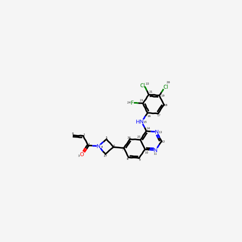 C=CC(=O)N1CC(c2ccc3ncnc(Nc4ccc(Cl)c(Cl)c4F)c3c2)C1